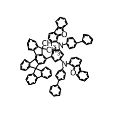 CC1(C)c2ccccc2-c2c3c(cc(-c4cc(N(c5ccc(-c6ccccc6)cc5)c5cccc6c5oc5ccccc56)cc(N(c5ccc(-c6ccccc6)cc5)c5cccc6c5oc5ccccc56)c4)c21)C1(c2ccccc2-c2ccccc21)c1ccccc1-3